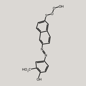 O=C(O)c1cc(/N=N/c2ccc3cc(SOOO)ccc3c2)ccc1O